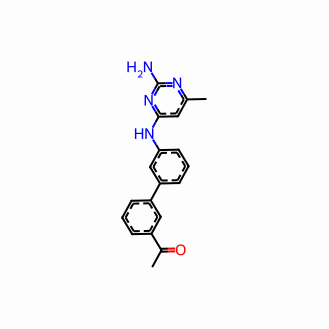 CC(=O)c1cccc(-c2cccc(Nc3cc(C)nc(N)n3)c2)c1